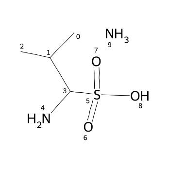 CC(C)C(N)S(=O)(=O)O.N